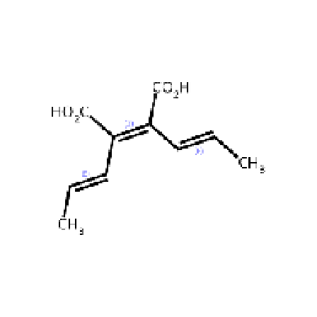 C/C=C/C(C(=O)O)=C(\C=C\C)C(=O)O